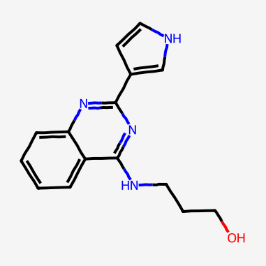 OCCCNc1nc(-c2cc[nH]c2)nc2ccccc12